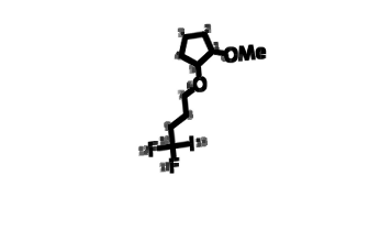 COC1CCCC1OCCCC(F)(F)I